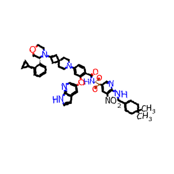 CC1(C)CCC(CNc2ncc(S(=O)(=O)NC(=O)c3ccc(N4CCC5(CC4)CC(N4CCOC[C@H]4c4ccccc4C4CC4)C5)cc3Oc3cnc4[nH]ccc4c3)cc2[N+](=O)[O-])CC1